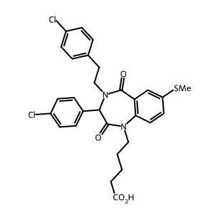 CSc1ccc2c(c1)C(=O)N(CCc1ccc(Cl)cc1)C(c1ccc(Cl)cc1)C(=O)N2CCCCC(=O)O